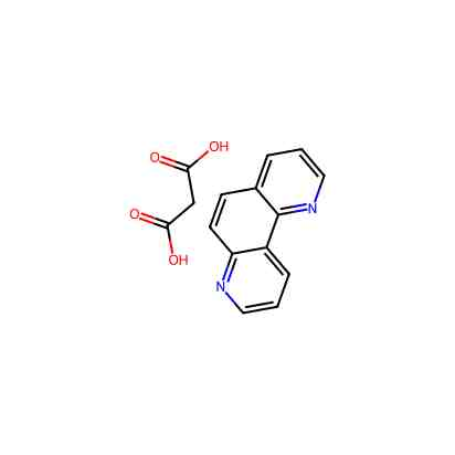 O=C(O)CC(=O)O.c1cnc2c(c1)ccc1ncccc12